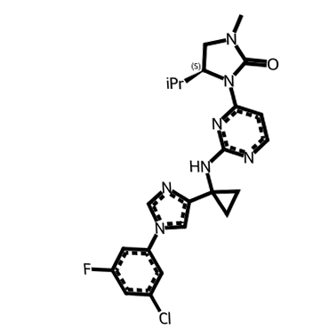 CC(C)[C@H]1CN(C)C(=O)N1c1ccnc(NC2(c3cn(-c4cc(F)cc(Cl)c4)cn3)CC2)n1